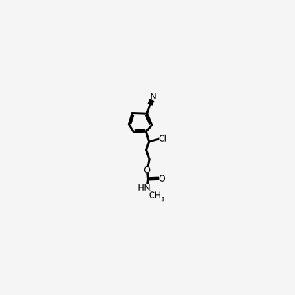 CNC(=O)OCCC(Cl)c1cccc(C#N)c1